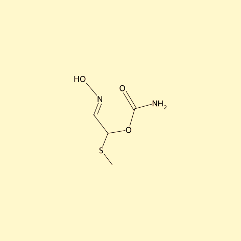 CSC(C=NO)OC(N)=O